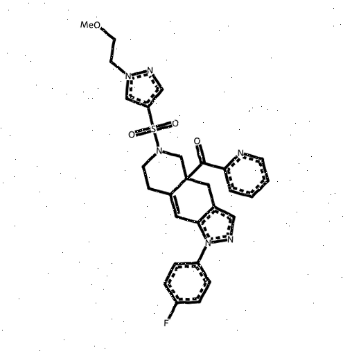 COCCn1cc(S(=O)(=O)N2CCC3=Cc4c(cnn4-c4ccc(F)cc4)CC3(C(=O)c3ccccn3)C2)cn1